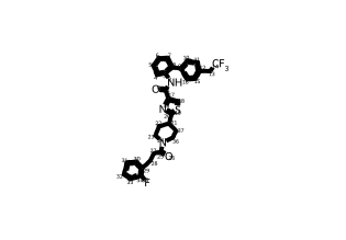 O=C(Nc1ccccc1-c1ccc(CC(F)(F)F)cc1)c1csc(C2CCN(C(=O)CCc3ccccc3F)CC2)n1